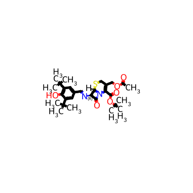 CC(=O)OCC1=C(C(=O)OC(C)(C)C)N2C(=O)[C@@H](N=Cc3cc(C(C)(C)C)c(O)c(C(C)(C)C)c3)[C@H]2SC1